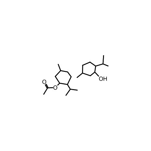 CC(=O)OC1CC(C)CCC1C(C)C.CC1CCC(C(C)C)C(O)C1